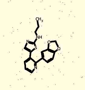 CCCNc1ncc(-c2cccnc2-c2ccc3c(c2)OCO3)s1